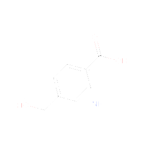 N.O=C(O)c1ccc(CO)cc1